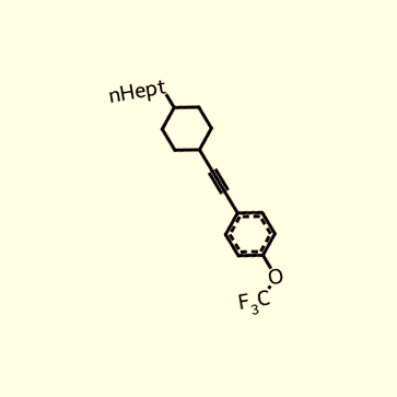 CCCCCCCC1CCC(C#Cc2ccc(OC(F)(F)F)cc2)CC1